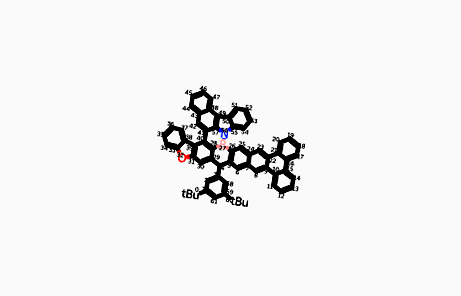 CC(C)(C)c1cc(C2c3cc4cc5c6ccccc6c6ccccc6c5cc4cc3B3c4c2cc2oc5ccccc5c2c4-c2cc4ccccc4c4c5ccccc5n3c24)cc(C(C)(C)C)c1